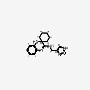 c1ccc2c(c1)N=C(NCc1cnon1)C1(CCCCC1)N2